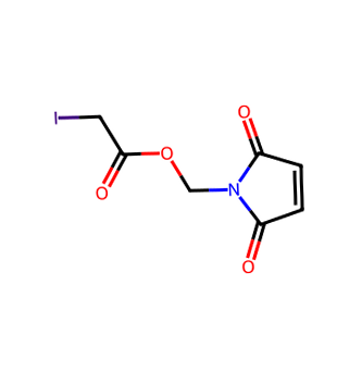 O=C(CI)OCN1C(=O)C=CC1=O